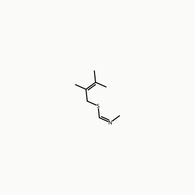 C/N=C\SCC(C)=C(C)C